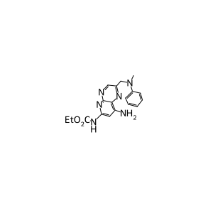 CCOC(=O)Nc1cc(N)c2nc(CN(C)c3ccccc3)cnc2n1